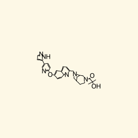 CC(C)(O)C(=O)N1CCC2CC(C1)N(Cc1ccc3cc(Oc4ccc(-c5ccn[nH]5)cn4)ccc3n1)C2